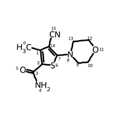 Cc1c(C(N)=O)sc(N2CCOCC2)c1C#N